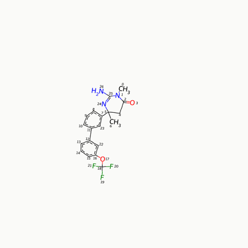 CN1C(=O)CC(C)(c2cccc(-c3cccc(OC(F)(F)F)c3)c2)N=C1N